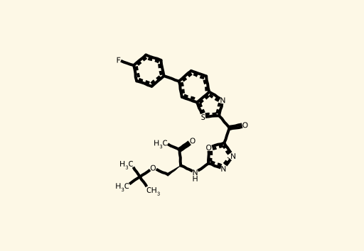 CC(=O)[C@H](COC(C)(C)C)Nc1nnc(C(=O)c2nc3ccc(-c4ccc(F)cc4)cc3s2)o1